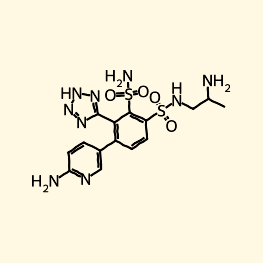 CC(N)CNS(=O)(=O)c1ccc(-c2ccc(N)nc2)c(-c2nn[nH]n2)c1S(N)(=O)=O